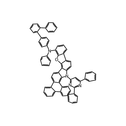 c1ccc(-c2cc(-n3c4ccc5c6cccc(N(c7ccccc7)c7ccc(-c8ccccc8-c8ccccc8)cc7)c6oc5c4c4ccc5c6ccccc6c6ccccc6c5c43)nc(-c3ccccc3)n2)cc1